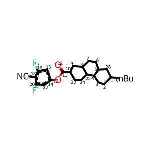 CCCCC1CCC2C(CCC3CC(C(=O)Oc4cc(F)c(C#N)c(F)c4)CCC32)C1